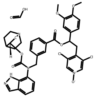 COc1ccc(C(Cc2c(Cl)c[n+]([O-])cc2Cl)OC(=O)c2cccc(CN(C(=O)O[C@H]3CN4CCC3CC4)c3cccc4cn[nH]c34)c2)cc1OC.O=CO